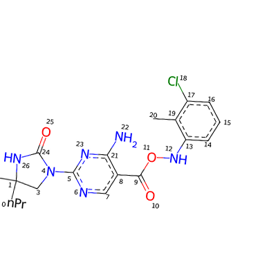 CCCC1(C)CN(c2ncc(C(=O)ONc3cccc(Cl)c3C)c(N)n2)C(=O)N1